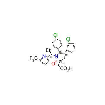 CC[C@H](c1cccc(C(F)(F)F)n1)N1C(=O)[C@](C)(CC(=O)O)C[C@H](c2cccc(Cl)c2)[C@H]1c1ccc(Cl)cc1